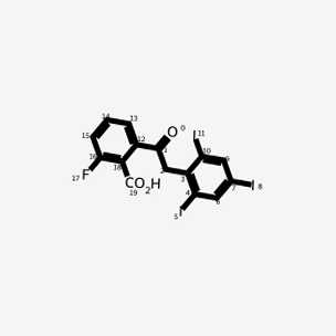 O=C(Cc1c(I)cc(I)cc1I)c1cccc(F)c1C(=O)O